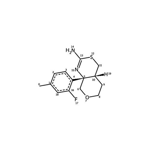 Cc1ccc([C@]23COCC[C@H]2CSC(N)=N3)c(F)c1